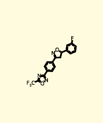 Fc1cccc(C2CC(c3ccc(-c4noc(C(F)(F)F)n4)cc3)=NO2)c1